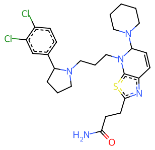 NC(=O)CCc1nc2c(s1)N(CCCN1CCCC1c1ccc(Cl)c(Cl)c1)C(N1CCCCC1)C=C2